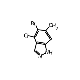 Cc1cc2[nH]ncc2c(Cl)c1Br